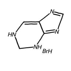 Br.C1=NC2=CNCNC2=N1